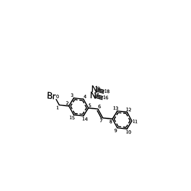 BrCc1ccc(C=Cc2ccccc2)cc1.C#N.C#N